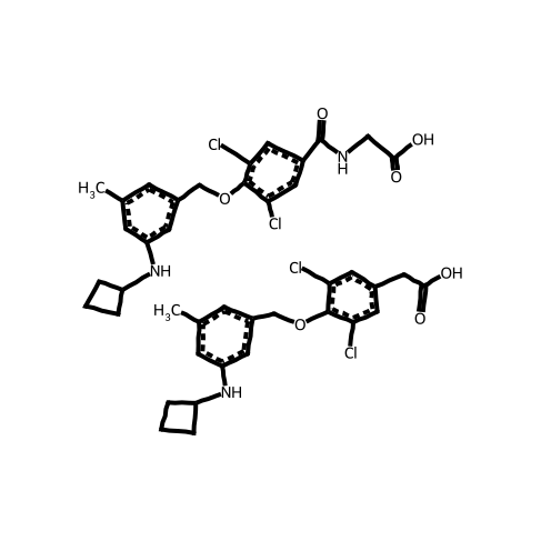 Cc1cc(COc2c(Cl)cc(C(=O)NCC(=O)O)cc2Cl)cc(NC2CCC2)c1.Cc1cc(COc2c(Cl)cc(CC(=O)O)cc2Cl)cc(NC2CCC2)c1